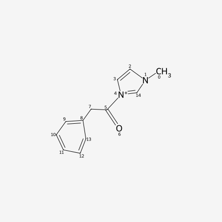 Cn1cc[n+](C(=O)Cc2ccccc2)c1